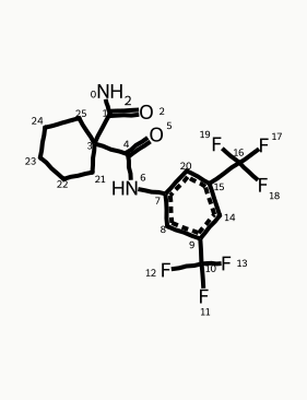 NC(=O)C1(C(=O)Nc2cc(C(F)(F)F)cc(C(F)(F)F)c2)CCCCC1